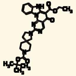 CCOC(=O)c1c(=O)c2cnc(N3CCC4(CCN(C(=O)OC(C)(C)C)CC4)C3)nc2n2c1[nH]c1ccccc12